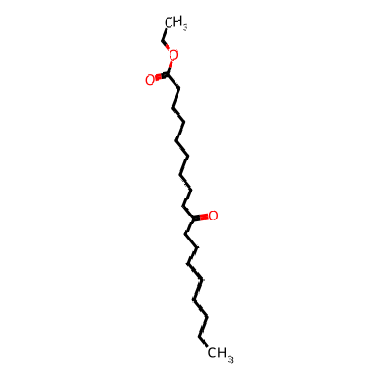 CCCCCCCCC(=O)CCCCCCCCC(=O)OCC